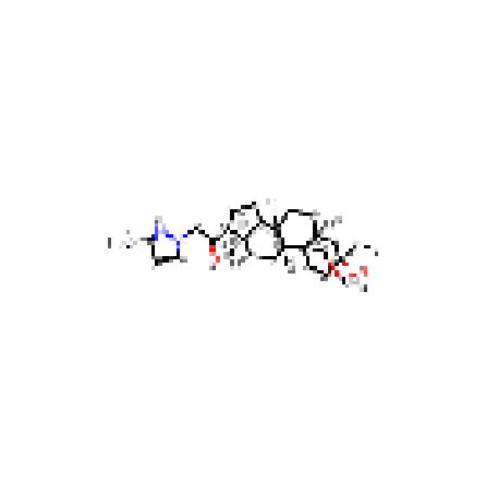 COC[C@]12CC[C@@](C)(O)C[C@H]1CC[C@H]1[C@@H]3CC[C@H](C(=O)Cn4ccc(C)n4)[C@@]3(C)CC[C@@H]12